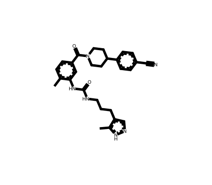 Cc1ccc(C(=O)N2CCC(c3ccc(C#N)cc3)CC2)cc1NC(=O)NCCCc1cn[nH]c1C